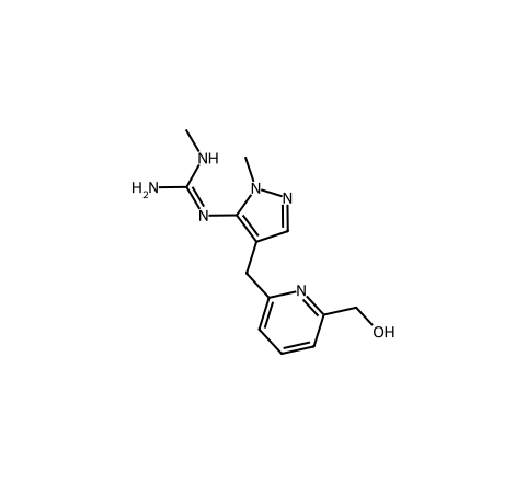 CN/C(N)=N\c1c(Cc2cccc(CO)n2)cnn1C